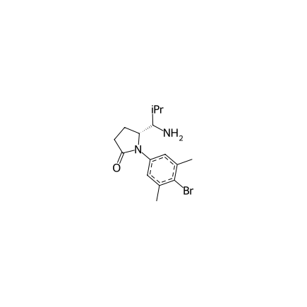 Cc1cc(N2C(=O)CC[C@@H]2C(N)C(C)C)cc(C)c1Br